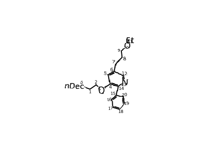 CCCCCCCCCCCCOc1cc(CCCOCC)cnc1-c1ccccc1